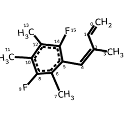 C=C/C(C)=C\c1c(C)c(F)c(C)c(C)c1F